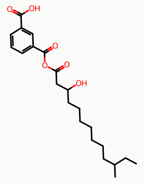 CCC(C)CCCCCCCC(O)CC(=O)OC(=O)c1cccc(C(=O)O)c1